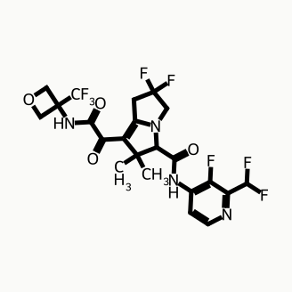 CC1(C)C(C(=O)C(=O)NC2(C(F)(F)F)COC2)=C2CC(F)(F)CN2C1C(=O)Nc1ccnc(C(F)F)c1F